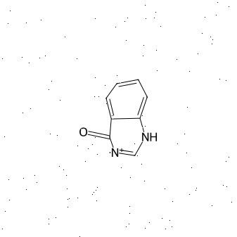 O=C1[N+]=CNc2ccccc21